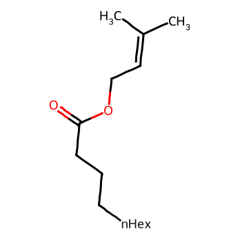 CCCCCCCCCC(=O)OCC=C(C)C